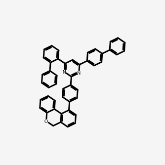 c1ccc(-c2ccc(-c3cc(-c4ccccc4-c4ccccc4)nc(-c4ccc(-c5cccc6c5-c5ccccc5OC6)cc4)n3)cc2)cc1